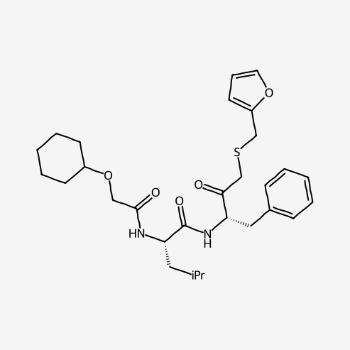 CC(C)C[C@H](NC(=O)COC1CCCCC1)C(=O)N[C@@H](Cc1ccccc1)C(=O)CSCc1ccco1